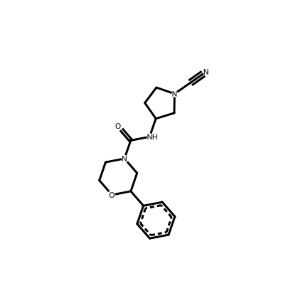 N#CN1CCC(NC(=O)N2CCOC(c3ccccc3)C2)C1